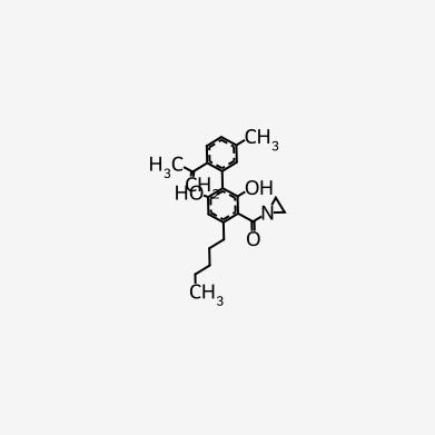 C=C(C)c1ccc(C)cc1-c1c(O)cc(CCCCC)c(C(=O)N2CC2)c1O